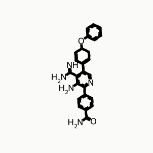 N=C(N)c1c(C2=CCC(Oc3ccccc3)C=C2)cnc(-c2ccc(C(N)=O)cc2)c1N